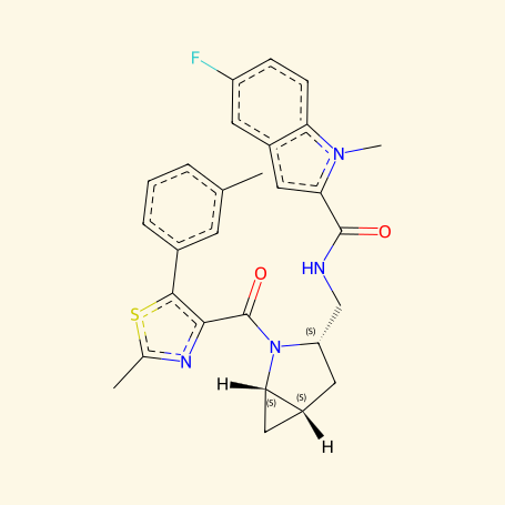 Cc1cccc(-c2sc(C)nc2C(=O)N2[C@H](CNC(=O)c3cc4cc(F)ccc4n3C)C[C@@H]3C[C@@H]32)c1